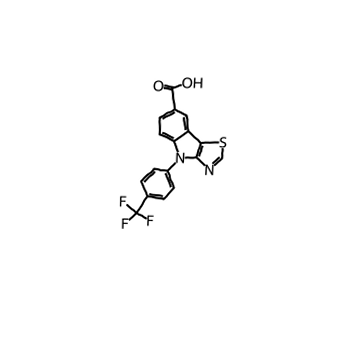 O=C(O)c1ccc2c(c1)c1scnc1n2-c1ccc(C(F)(F)F)cc1